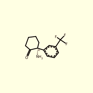 N[C@@]1(c2cccc(C(F)(F)F)c2)CCCCC1=O